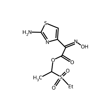 CCS(=O)(=O)C(C)OC(=O)C(=NO)c1csc(N)n1